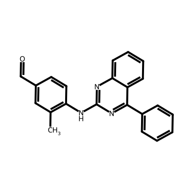 Cc1cc(C=O)ccc1Nc1nc(-c2ccccc2)c2ccccc2n1